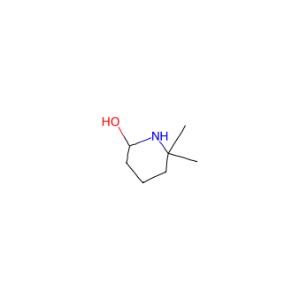 CC1(C)CCCC(O)N1